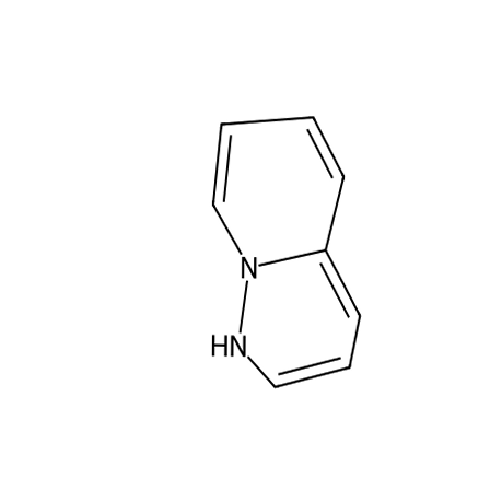 C1=CNN2C=CC=CC2=C1